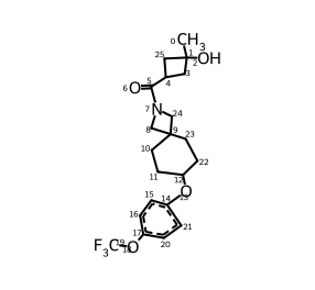 CC1(O)CC(C(=O)N2CC3(CCC(Oc4ccc(OC(F)(F)F)cc4)CC3)C2)C1